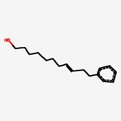 OCCCCCCC/C=C/CCc1ccccc1